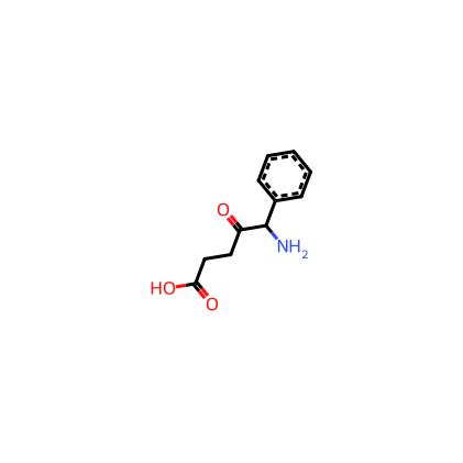 NC(C(=O)CCC(=O)O)c1ccccc1